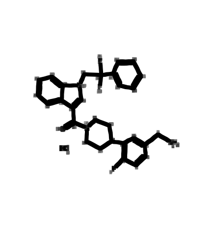 Cl.NCc1ccc(F)c(C2CCN(C(=O)c3cn(CC(F)(F)c4ccccc4)c4ccccc34)CC2)c1